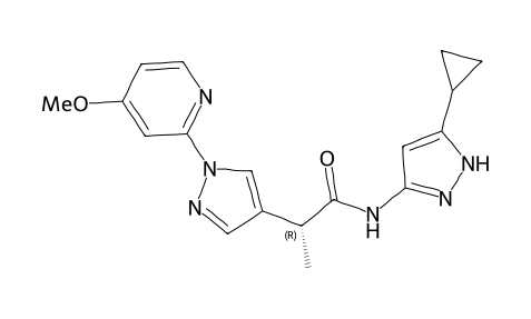 COc1ccnc(-n2cc([C@@H](C)C(=O)Nc3cc(C4CC4)[nH]n3)cn2)c1